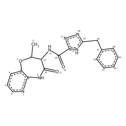 CC1Oc2cccnc2NC(=O)C1NC(=O)c1nnc(Cc2ccccc2)[nH]1